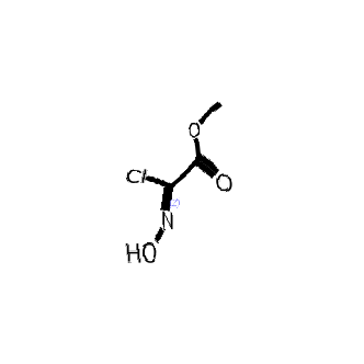 COC(=O)/C(Cl)=N/O